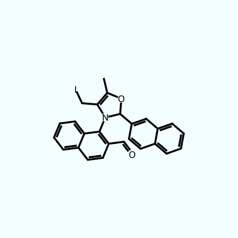 CC1=C(CI)N(c2c(C=O)ccc3ccccc23)C(c2ccc3ccccc3c2)O1